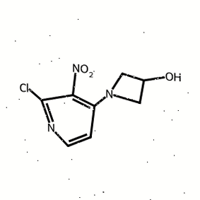 O=[N+]([O-])c1c(N2CC(O)C2)ccnc1Cl